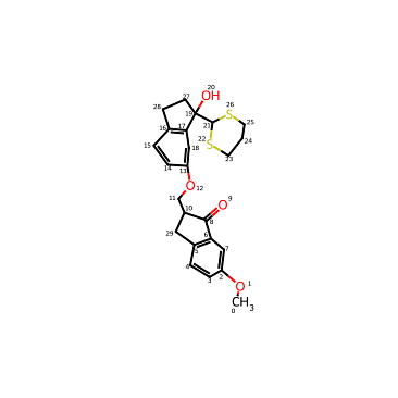 COc1ccc2c(c1)C(=O)C(COc1ccc3c(c1)C(O)(C1SCCCS1)CC3)C2